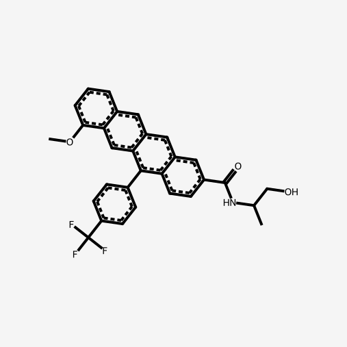 COc1cccc2cc3cc4cc(C(=O)NC(C)CO)ccc4c(-c4ccc(C(F)(F)F)cc4)c3cc12